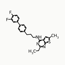 CCc1nc(NCCCc2ccc(-c3ccc(F)c(F)c3)cc2)c2cc(C)sc2n1